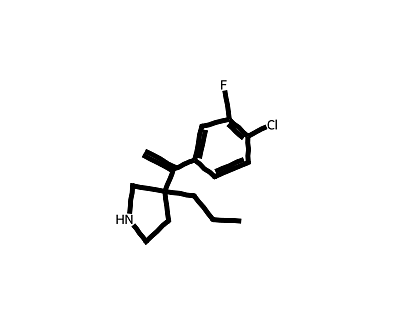 C=C(c1ccc(Cl)c(F)c1)C1(CCC)CCNC1